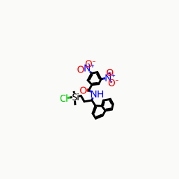 C[Si](C)(Cl)CCC(NC(=O)c1cc([N+](=O)[O-])cc([N+](=O)[O-])c1)c1cccc2ccccc12